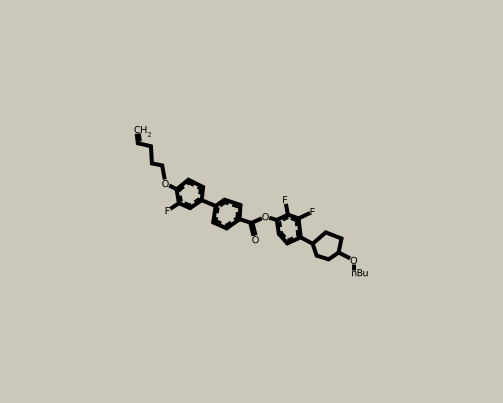 C=CCCCOc1ccc(-c2ccc(C(=O)Oc3ccc(C4CCC(OCCCC)CC4)c(F)c3F)cc2)cc1F